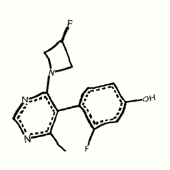 Cc1ncnc(N2CC(F)C2)c1-c1ccc(O)cc1F